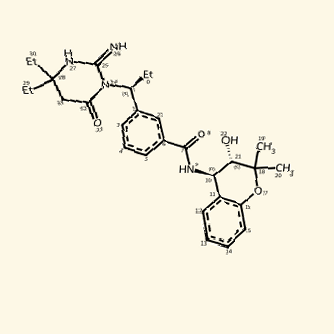 CC[C@@H](c1cccc(C(=O)N[C@@H]2c3ccccc3OC(C)(C)[C@H]2O)c1)N1C(=N)NC(CC)(CC)CC1=O